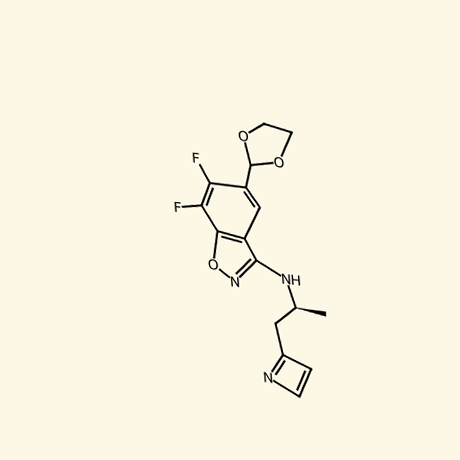 C[C@@H](CC1=NC=C1)Nc1noc2c(F)c(F)c(C3OCCO3)cc12